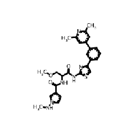 CNn1ccc(C(=O)NC(COC)C(=O)Nc2nc(-c3cccc(-c4cc(C)nc(C)c4)c3)cs2)c1